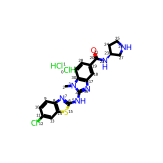 Cl.Cl.Cn1c(Nc2nc3ccc(Cl)cc3s2)nc2cc(C(=O)N[C@H]3CCNC3)ccc21